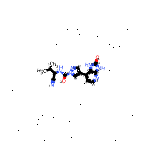 CC(C)C(C#N)NC(=O)n1cc(-c2ccnc3[nH]c(=O)[nH]c23)cn1